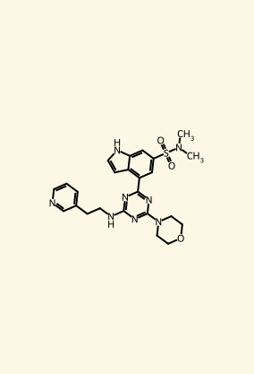 CN(C)S(=O)(=O)c1cc(-c2nc(NCCc3cccnc3)nc(N3CCOCC3)n2)c2cc[nH]c2c1